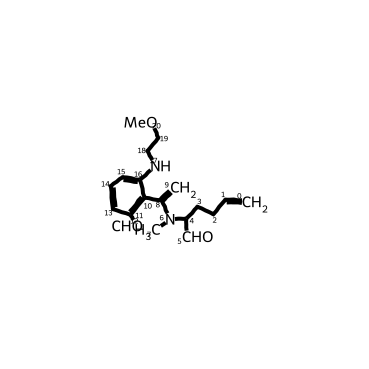 C=CCCC(C=O)N(C)C(=C)c1c(C=O)cccc1NCCOC